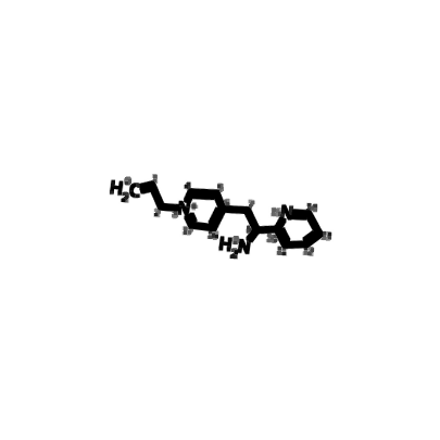 C=CC[n+]1ccc(CC(N)c2ccccn2)cc1